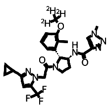 [2H]C([2H])([2H])Oc1cccc([C@@H]2[C@H](NC(=O)c3cn(C)nn3)CCN2C(=O)Cn2nc(C3CC3)cc2C(F)(F)F)c1C